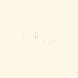 C=CNC(=O)OCC1CO1